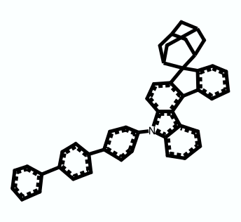 c1ccc(-c2ccc(-c3ccc(-n4c5ccccc5c5c6c(ccc54)C4(c5ccccc5-6)C5CC6CC(C5)CC4C6)cc3)cc2)cc1